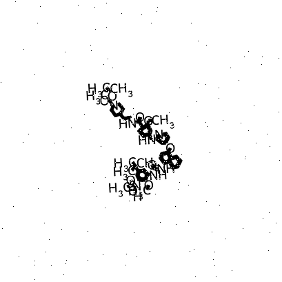 COc1cc(Nc2cc(Oc3ccc(NC(=O)Nc4cc(C(C)(C)C)cc(NS(C)(=O)=O)c4OC)c4ccccc34)ccn2)ccc1C(=O)NCCC1CCN(C(=O)OC(C)(C)C)CC1